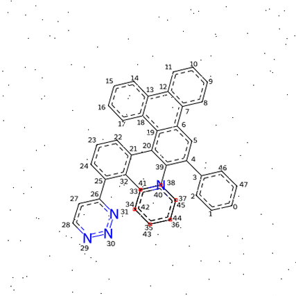 c1ccc(-c2cc3c4ccccc4c4ccccc4c3c(-c3cccc(-c4ccnnn4)c3-c3ccccn3)c2-c2ccccc2)cc1